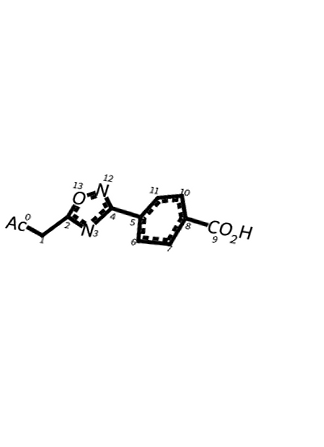 CC(=O)Cc1nc(-c2ccc(C(=O)O)cc2)no1